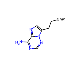 CNCCc1cnc2c(N)ncnn12